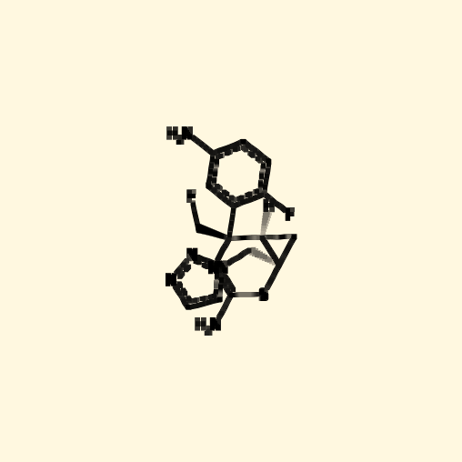 NC1=N[C@](CF)(c2cc(N)ccc2F)[C@H]2C[C@@]2(Cn2ccnn2)S1